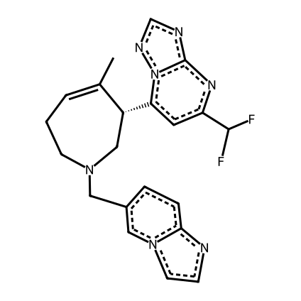 CC1=CCCN(Cc2ccc3nccn3c2)C[C@H]1c1cc(C(F)F)nc2ncnn12